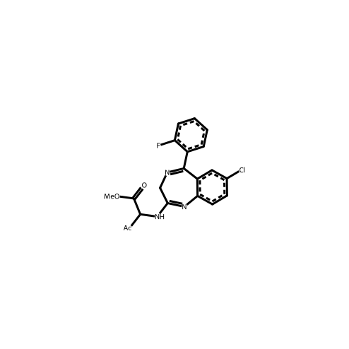 COC(=O)C(NC1=Nc2ccc(Cl)cc2C(c2ccccc2F)=NC1)C(C)=O